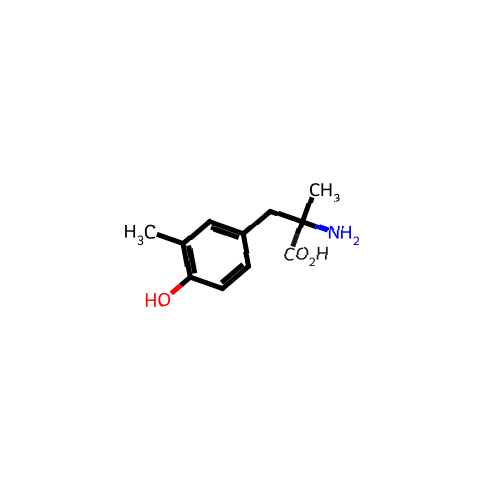 Cc1cc(CC(C)(N)C(=O)O)ccc1O